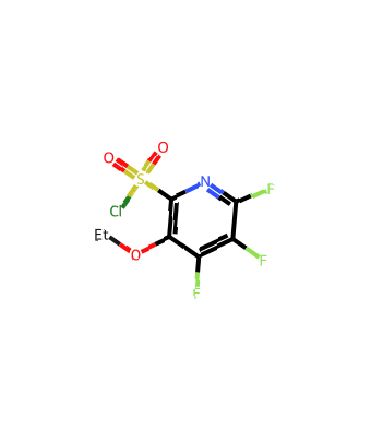 CCOc1c(S(=O)(=O)Cl)nc(F)c(F)c1F